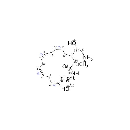 CCCCC/C=C\C/C=C\C/C=C\C/C=C\CCC(C)C(=O)NCCO.NCCO